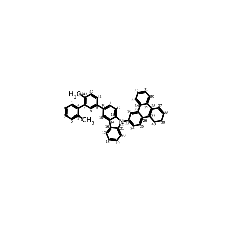 Cc1ccccc1-c1cc(-c2ccc3c(c2)c2ccccc2n3-c2ccc3c4c(c5ccccc5c3c2)C=CCC4)ccc1C